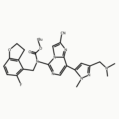 CN(C)Cc1cc(-c2cnc(N(Cc3c(F)ccc4c3CCO4)C(=O)OC(C)(C)C)n3cc(C#N)nc23)n(C)n1